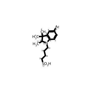 CC(=O)c1ccc2c(c1)C(C)(C)C(C)N2CCCCS(=O)(=O)O